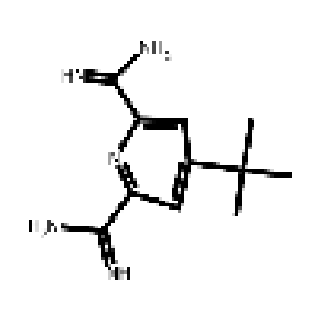 CC(C)(C)c1cc(C(=N)N)nc(C(=N)N)c1